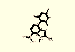 CCCN(CCC)c1ccc(-c2c(C)cc(Br)cc2C)c2nc(N)n(C)c12